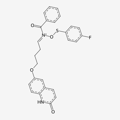 O=C(c1ccccc1)[N+](=CCCCOc1ccc2[nH]c(=O)ccc2c1)OSc1ccc(F)cc1